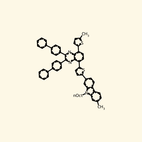 CCCCCCCCn1c2cc(C)ccc2c2ccc(-c3ccc(-c4ccc(-c5ccc(C)s5)c5nc(-c6ccc(-c7ccccc7)cc6)c(-c6ccc(-c7ccccc7)cc6)nc45)s3)cc21